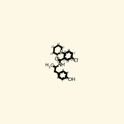 CC(Cc1ccc(O)cc1)NC(=O)c1cc(Cl)ccc1N1CCCCC1